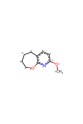 COc1ccc2c(n1)OCCCC2